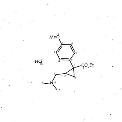 CCOC(=O)C1(c2ccc(OC)cc2)CC1CN(C)C.Cl